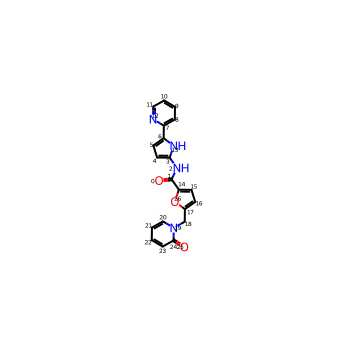 O=C(Nc1ccc(-c2ccccn2)[nH]1)c1ccc(Cn2ccccc2=O)o1